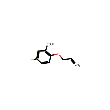 C=CCOc1ccc(F)cc1C(=O)O